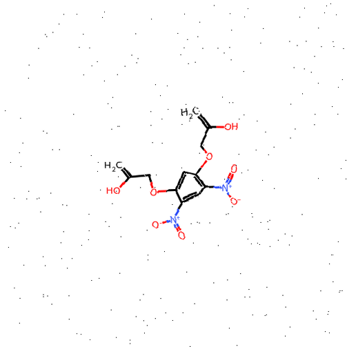 C=C(O)COc1cc(OCC(=C)O)c([N+](=O)[O-])cc1[N+](=O)[O-]